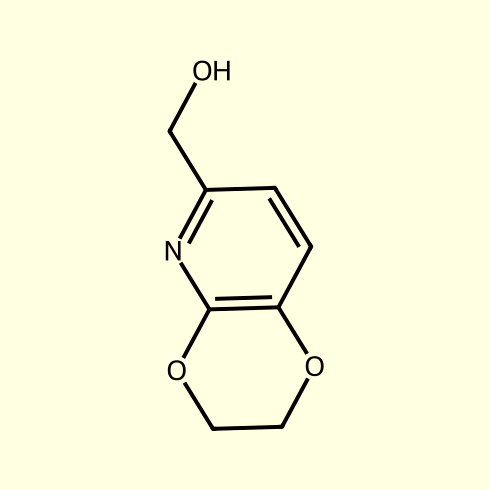 OCc1ccc2c(n1)OCCO2